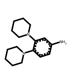 Nc1ccc(N2CCCCC2)c(N2CCCCC2)c1